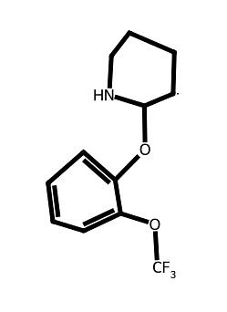 FC(F)(F)Oc1ccccc1OC1[CH]CCCN1